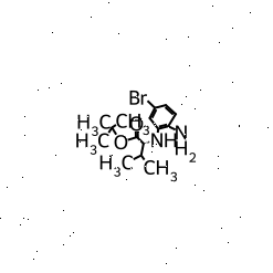 CC(C)[C@@H](Nc1cc(Br)ccc1N)C(=O)OC(C)(C)C